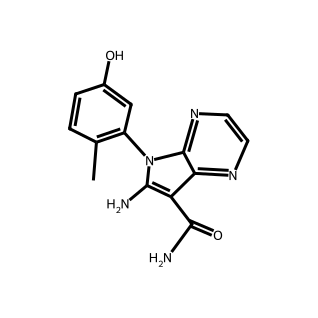 Cc1ccc(O)cc1-n1c(N)c(C(N)=O)c2nccnc21